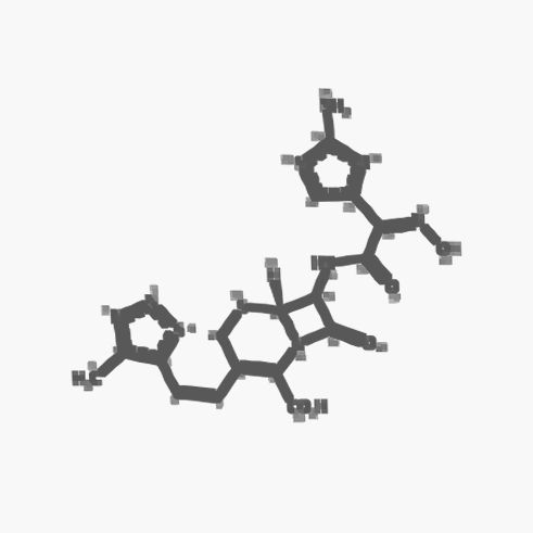 Cc1nnsc1/C=C\C1=C(C(=O)O)N2C(=O)C(NC(=O)/C(=N\O)c3csc(N)n3)[C@H]2SC1